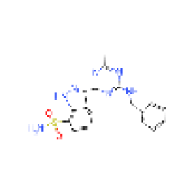 Cc1nc(NCc2ccccc2)nc(-c2n[nH]c3c(S(N)(=O)=O)cccc23)n1